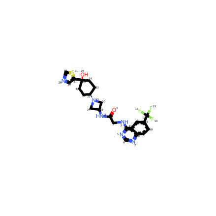 O=C(CNc1ncnc2ccc(C(F)(F)F)cc12)NC1CN([C@H]2CC[C@@](O)(c3cncs3)CC2)C1